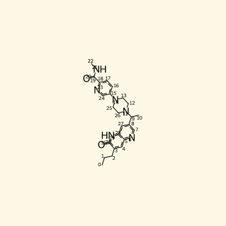 CCCc1cc2ncc(C(C)N3CCN(c4ccc(C(=O)NC)nc4)CC3)cc2[nH]c1=O